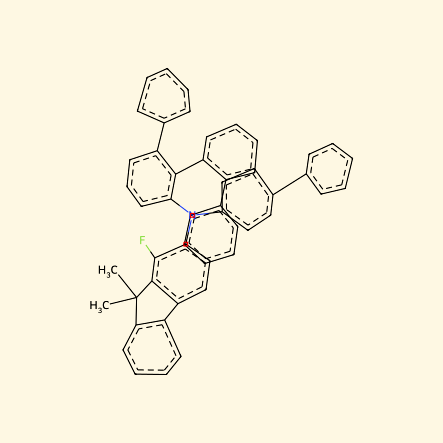 CC1(C)c2ccccc2-c2ccc(N(c3ccc(-c4ccccc4)cc3)c3cccc(-c4ccccc4)c3-c3ccccc3-c3ccccc3)c(F)c21